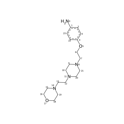 Nc1ccc(OCCN2CCN(CCN3CCOCC3)CC2)cc1